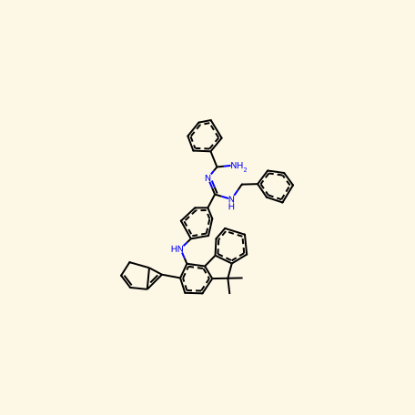 CC1(C)c2ccccc2-c2c1ccc(C1=C3C=CCC31)c2Nc1ccc(/C(=N/C(N)c2ccccc2)NCc2ccccc2)cc1